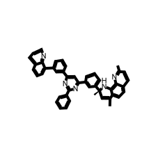 CC1=C[C@](C)(c2cccc(-c3cc(-c4cccc(-c5cccc6cccnc56)c4)nc(-c4ccccc4)n3)c2)Nc2c1ccc1ccc(C)nc21